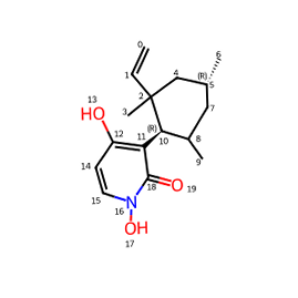 C=CC1(C)C[C@H](C)CC(C)[C@H]1c1c(O)ccn(O)c1=O